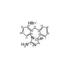 Br.NC1=NC[C@@H]2c3ccccc3Cc3ccccc3N12